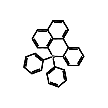 c1ccc([Si]2(c3ccccc3)c3ccccc3-c3cccc4cccc2c34)cc1